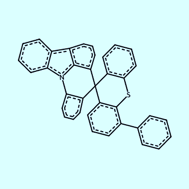 c1ccc(-c2cccc3c2Sc2ccccc2C32c3ccccc3-n3c4ccccc4c4cccc2c43)cc1